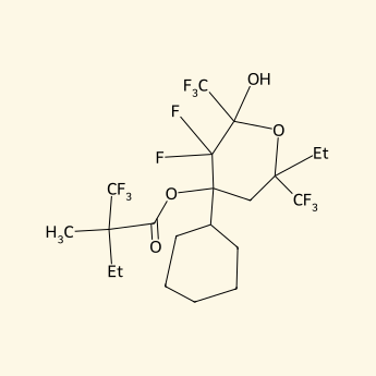 CCC1(C(F)(F)F)CC(OC(=O)C(C)(CC)C(F)(F)F)(C2CCCCC2)C(F)(F)C(O)(C(F)(F)F)O1